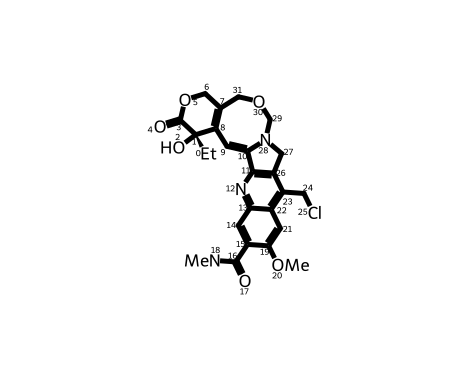 CC[C@@]1(O)C(=O)OCC2=C1/C=C1/c3nc4cc(C(=O)NC)c(OC)cc4c(CCl)c3CN1COC2